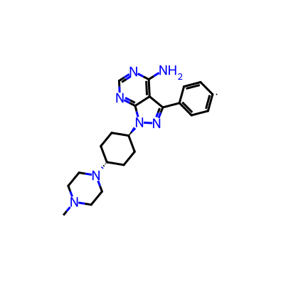 CN1CCN([C@H]2CC[C@H](n3nc(-c4cc[c]cc4)c4c(N)ncnc43)CC2)CC1